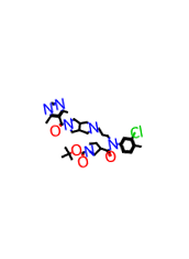 Cc1ccc(N(CCCN2CC3CN(C(=O)c4c(C)ncnc4C)CC3C2)C(=O)C2CCN(C(=O)OC(C)(C)C)C2)cc1Cl